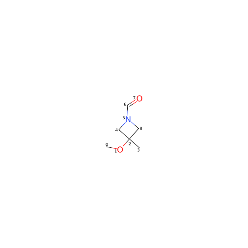 COC1(C)CN(C=O)C1